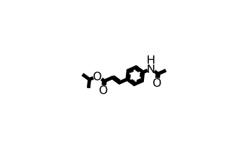 CC(=O)Nc1ccc(C=CC(=O)OC(C)C)cc1